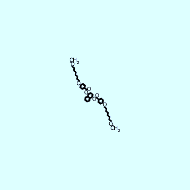 C=COCCCCCCCCOc1ccc(C(=O)Oc2ccc(OC(=O)c3ccc(OCCCCCCCCOC=C)cc3)c3ccccc23)cc1